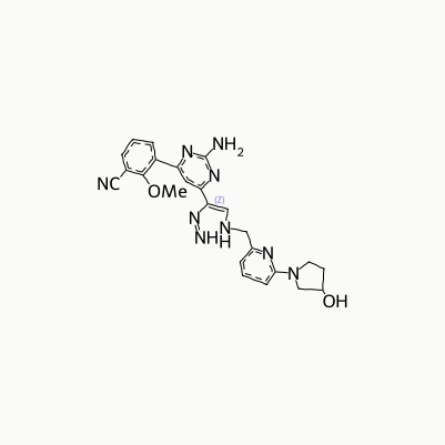 COc1c(C#N)cccc1-c1cc(/C(=C/NCc2cccc(N3CCC(O)C3)n2)N=N)nc(N)n1